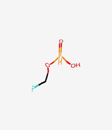 O=[PH](O)OCF